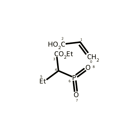 C=CC(=O)O.CCOC(=O)C(CC)P(=O)=O